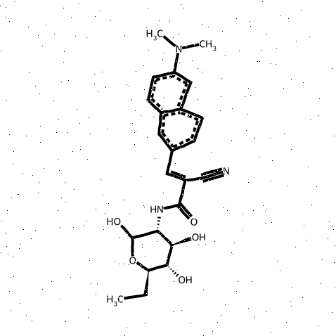 CC[C@H]1OC(O)[C@H](NC(=O)/C(C#N)=C/c2ccc3cc(N(C)C)ccc3c2)[C@@H](O)[C@@H]1O